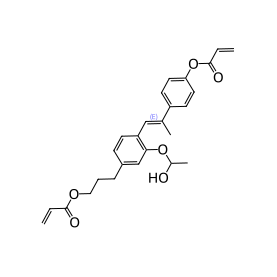 C=CC(=O)OCCCc1ccc(/C=C(\C)c2ccc(OC(=O)C=C)cc2)c(OC(C)O)c1